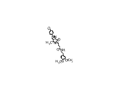 COc1ccc(CCNC(=O)CCCn2nc(C)c3cn(-c4ccc(Cl)cc4)nc3c2=O)cc1OC